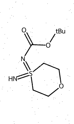 CC(C)(C)OC(=O)N=S1(=N)CCOCC1